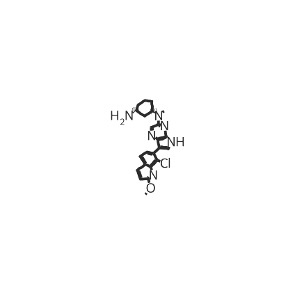 COc1ccc2ccc(-c3c[nH]c4nc(N(C)[C@@H]5CCC[C@@H](N)C5)cnc34)c(Cl)c2n1